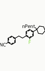 CCCCCC1(c2ccc(CCc3ccc(C#N)cc3)c(F)c2)CCCCC1